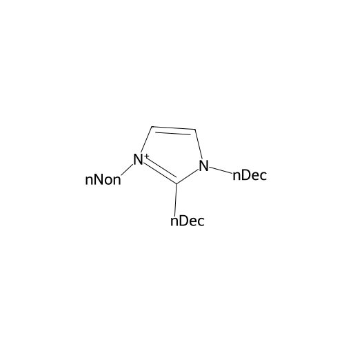 CCCCCCCCCCc1n(CCCCCCCCCC)cc[n+]1CCCCCCCCC